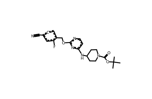 CC(C)(C)OC(=O)N1CCC(Nc2ccnc(OCc3ccc(C#N)cc3F)n2)CC1